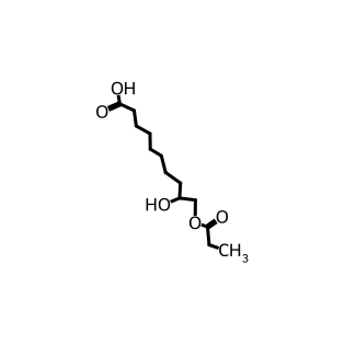 CCC(=O)OCC(O)CCCCCCCC(=O)O